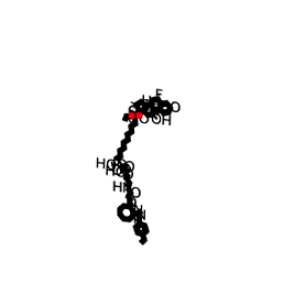 CCC(=O)O[C@]1(C(=O)SCCCCCCCCCCP(=O)(O)OP(=O)(O)OCCNC(=O)COC2CCCCCc3c2nnn3-c2ccc(CC)cc2)[C@H](C)C[C@H]2[C@@H]3C[C@H](F)C4=CC(=O)C=C[C@]4(C)[C@@]3(F)[C@@H](O)C[C@@]21C